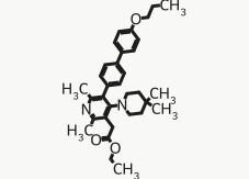 CCCOc1ccc(-c2ccc(-c3c(C)nc(C)c(CC(=O)OCC)c3N3CCC(C)(C)CC3)cc2)cc1